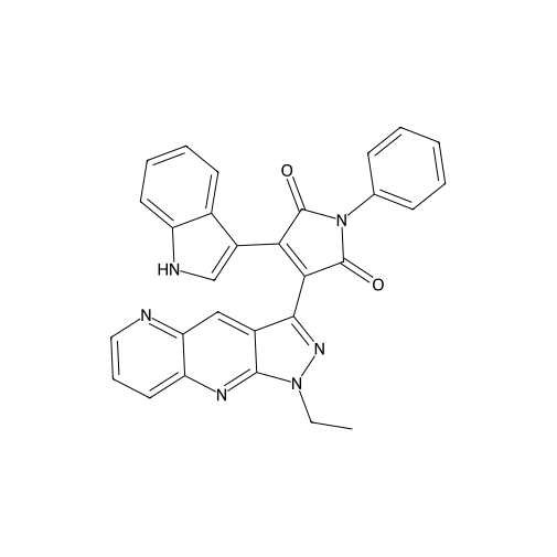 CCn1nc(C2=C(c3c[nH]c4ccccc34)C(=O)N(c3ccccc3)C2=O)c2cc3ncccc3nc21